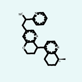 C[C@H]1CCCc2c(C3CCOc4cc(CC(C#N)c5ccccn5)cnc43)ccnc21